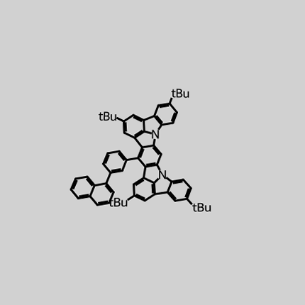 CC(C)(C)c1ccc2c(c1)c1cc(C(C)(C)C)cc3c4c(-c5cccc(-c6cccc7ccccc67)c5)c5c6cc(C(C)(C)C)cc7c8cc(C(C)(C)C)ccc8n(c5cc4n2c13)c76